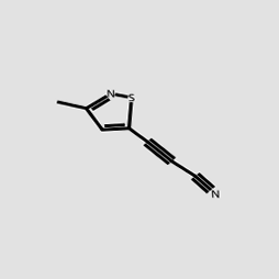 Cc1cc(C#CC#N)sn1